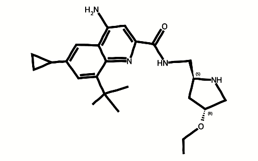 CCO[C@H]1CN[C@H](CNC(=O)c2cc(N)c3cc(C4CC4)cc(C(C)(C)C)c3n2)C1